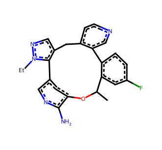 CCn1ncc2c1-c1cnc(N)c(c1)OC(C)c1cc(F)ccc1-c1cnccc1C2